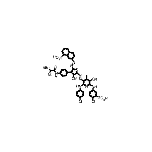 CCCCC(CC)C(=O)Nc1ccc(-c2c(N=Nc3ccc4cccc(S(=O)(=O)O)c4c3)sc(N=Nc3c(Nc4ccc(Cl)cc4)nc(Nc4ccc(Cl)c(S(=O)(=O)O)c4)c(C#N)c3C)c2C#N)cc1